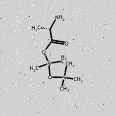 C[C@H](N)C(=O)O[Si](C)(C)O[Si](C)(C)C